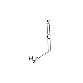 PC=C=S